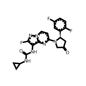 O=C1C[C@H](c2cc(F)ccc2F)N(c2ccn3nc(F)c(NC(=O)NC4CC4)c3n2)C1